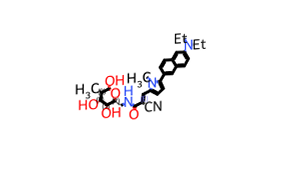 CCN(CC)c1ccc2cc(-c3ccc(/C=C(\C#N)C(=O)NC[C@H]4OC(O)[C@H](C)[C@@H](O)[C@@H]4O)n3C)ccc2c1